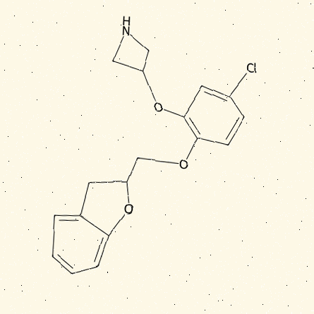 Clc1ccc(OCC2Cc3ccccc3O2)c(OC2CNC2)c1